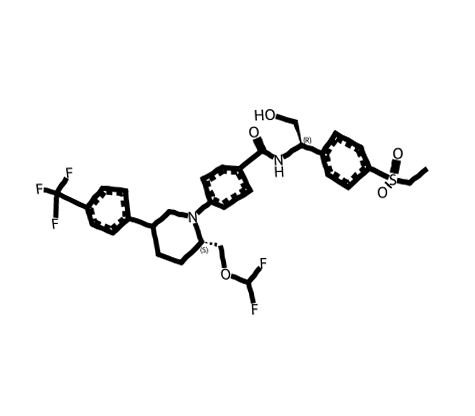 CCS(=O)(=O)c1ccc([C@H](CO)NC(=O)c2ccc(N3CC(c4ccc(C(F)(F)F)cc4)CC[C@H]3COC(F)F)cc2)cc1